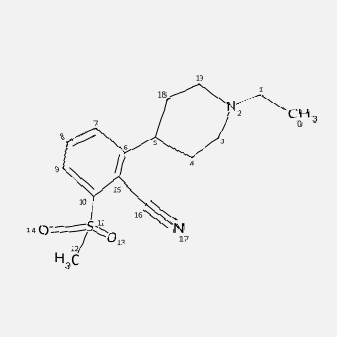 CCN1CCC(c2cccc(S(C)(=O)=O)c2C#N)CC1